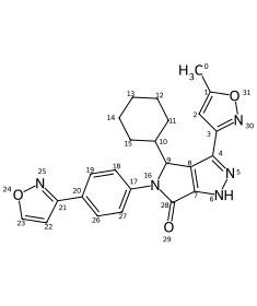 Cc1cc(-c2n[nH]c3c2C(C2CCCCC2)N(c2ccc(-c4ccon4)cc2)C3=O)no1